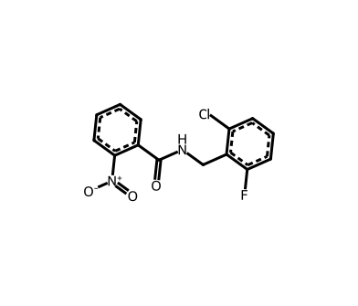 O=C(NCc1c(F)cccc1Cl)c1ccccc1[N+](=O)[O-]